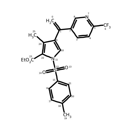 C=C(c1ccc(C(F)(F)F)nc1)c1cn(S(=O)(=O)c2ccc(C)cc2)c(C(=O)OCC)c1C